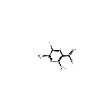 Cc1nc(N)c(I)cc1[N+](=O)[O-]